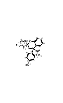 CNC1(NC)CC(NC)(c2ccc(O)cc2)c2ccccc2O1